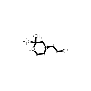 CC1(C)CN(CCCl)CCO1